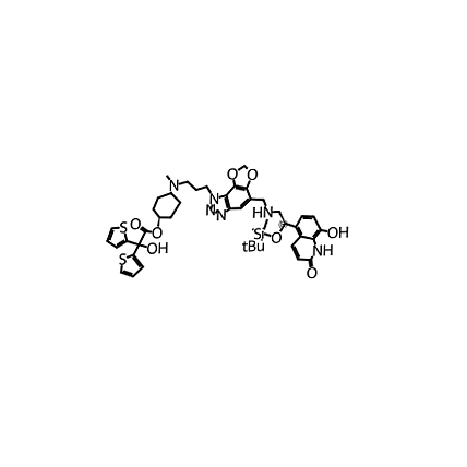 CN(CCCn1nnc2cc(CNC[C@H](O[Si](C)(C)C(C)(C)C)c3ccc(O)c4[nH]c(=O)ccc34)c3c(c21)OCO3)[C@H]1CC[C@H](OC(=O)C(O)(c2cccs2)c2cccs2)CC1